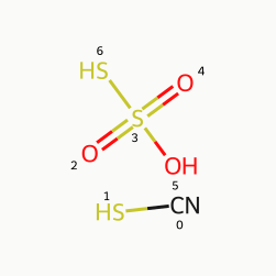 N#CS.O=S(=O)(O)S